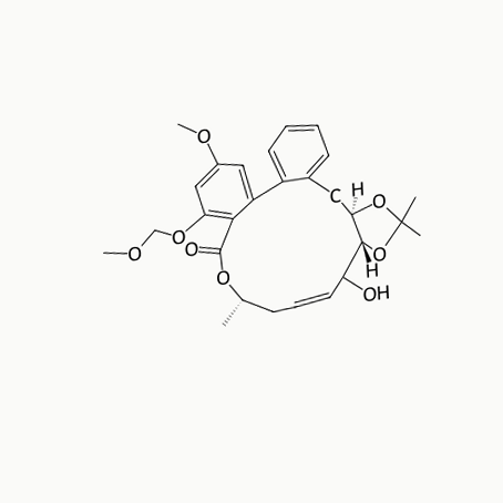 COCOc1cc(OC)cc2c1C(=O)O[C@@H](C)C/C=C\C(O)[C@H]1OC(C)(C)O[C@@H]1Cc1ccccc1-2